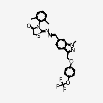 Cc1cccc(C)c1N1C(=O)CS/C1=N\N=C\c1ccc2c(COc3ccc(OC(F)(F)F)cc3)nn(C)c2c1